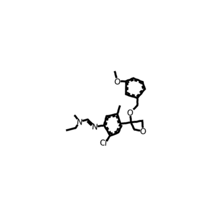 CCN(C)C=Nc1cc(C)c(C2(OCc3cccc(OC)c3)COC2)cc1Cl